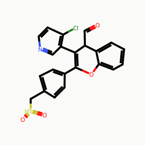 O=CC1C(c2cnccc2Cl)=C(c2ccc(C[SH](=O)=O)cc2)Oc2ccccc21